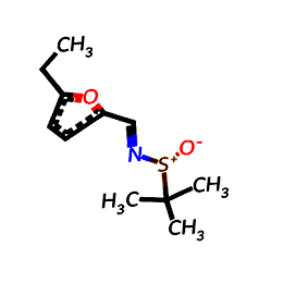 CCc1ccc(C=N[S+]([O-])C(C)(C)C)o1